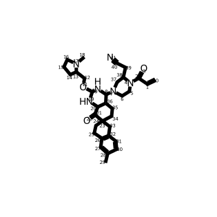 C=CC(=O)N1CCN(C2NC(OCC3CCCN3C)NC3C(=O)C4(CCc5cc(C)ccc5C4)CCC32)CC1CC#N